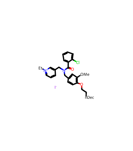 CCCCCCCCCCCCOc1ccc(CN(Cc2ccc[n+](CC)c2)C(=O)c2ccccc2Cl)cc1OC.[I-]